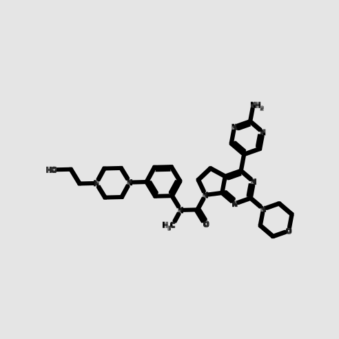 CN(C(=O)N1CCc2c(-c3cnc(N)nc3)nc(N3CCOCC3)nc21)c1cccc(N2CCN(CCO)CC2)c1